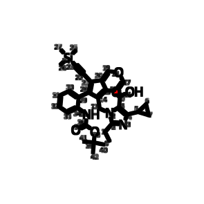 CCc1nc(C2CC2)c(C(=O)O)n1Cc1c2ccocc-2c(C#C[Si](C)(C)C)c1-c1ccccc1NC(=O)OC(C)(C)C